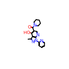 Cc1nn(-c2ccccn2)c2ncc(C(=O)N3CCCCC3)c(O)c12